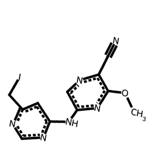 COc1nc(Nc2cc(CI)ncn2)cnc1C#N